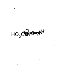 C/C(C(=O)O)=C(/C)C(=O)NCCCCCN=[N+]=[N-]